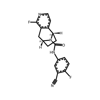 N#Cc1cc(NC(=O)N2[C@@H]3CC[C@H]2c2ccnc(F)c2C3)ccc1F